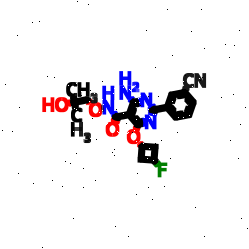 CC(C)(O)CONC(=O)c1c(N)nc(-c2cccc(C#N)c2)nc1OC1CC(F)C1